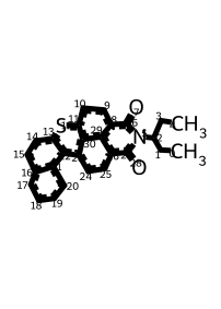 CCC(CC)n1c(=O)c2ccc3sc4ccc5ccccc5c4c4ccc(c1=O)c2c34